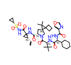 C=C[C@@H]1C[C@]1(NC(=O)[C@@H]1C[C@@]2(CN1C(=O)[C@@H](NC(=O)[C@@H](NC(=O)c1cocn1)C1CCCCC1)C(C)(C)C)C(C)(C)C21CCC1)C(=O)NS(=O)(=O)C1CC1